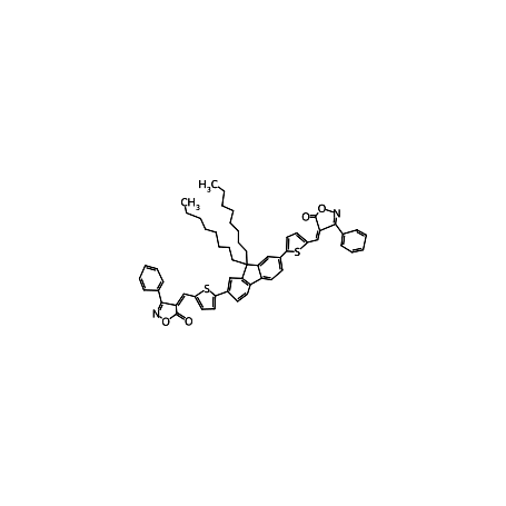 CCCCCCCCC1(CCCCCCCC)c2cc(-c3ccc(/C=C4\C(=O)ON=C4c4ccccc4)s3)ccc2-c2ccc(-c3ccc(/C=C4\C(=O)ON=C4c4ccccc4)s3)cc21